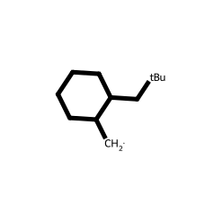 [CH2]C1CCCCC1CC(C)(C)C